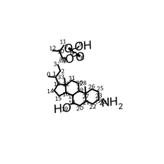 CC(CC[C@@H](OS(=O)(=O)O)C(C)C)C1CCC2C3C(O)CC4C[C@@H](N)CCC4(C)C3CCC12C